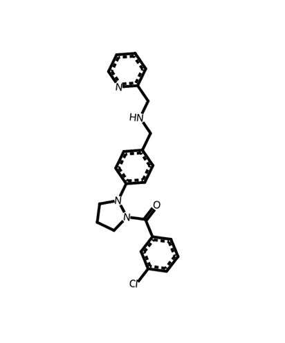 O=C(c1cccc(Cl)c1)N1CCCN1c1ccc(CNCc2ccccn2)cc1